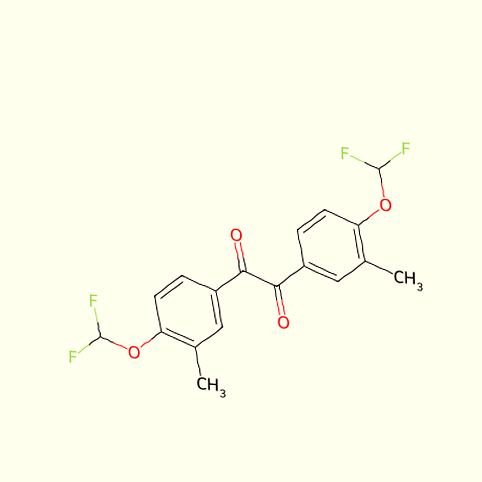 Cc1cc(C(=O)C(=O)c2ccc(OC(F)F)c(C)c2)ccc1OC(F)F